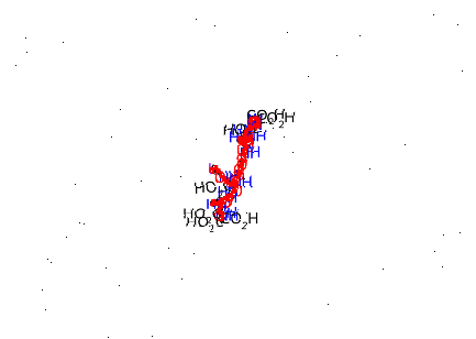 N=N/C1=C(\NCCCNC(=O)CN2CCN(CC(=O)O)CCN(CC(=O)O)CCN(CC(=O)O)CC2)c2ccccc2CN(C(=O)CCC(=O)NCCOCCOCCOCCOCCC(=O)NC(CCC(=O)NCC2CCC(C(=O)CC(Cc3ccc4ccccc4c3)C(=O)NCCCCC(NC(=O)NC(CCC(=O)O)C(=O)O)C(=O)O)CC2)C(=O)NC(CCCCNC(=O)CCCc2ccc(I)cc2)C(=O)O)c2ccccc21